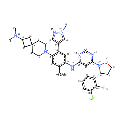 COc1cc(N2CCC3(CC2)CC(N(C)C)C3)c(-c2cnn(C)c2)cc1Nc1cc(N2OCC[C@@H]2c2cccc(F)c2F)ncn1